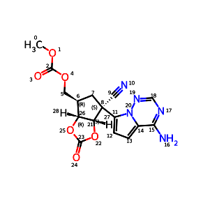 COC(=O)OC[C@H]1C[C@@](C#N)(c2ccc3c(N)ncnn23)[C@@H]2OC(=O)O[C@H]12